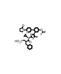 O=C(O)CC(Cc1ccccc1)C(=O)N(c1nc(-c2cc(OC(F)F)ccc2-c2ccc(N3CCCC3=O)nc2)c(F)s1)C1CC1